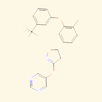 Cc1ccc([C@@H]2CC(Oc3cncnc3)=NO2)cc1Oc1cccc(C(F)(F)F)c1